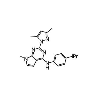 Cc1cc(C)n(-c2nc(Nc3ccc(C(C)C)cc3)c3ccn(C)c3n2)n1